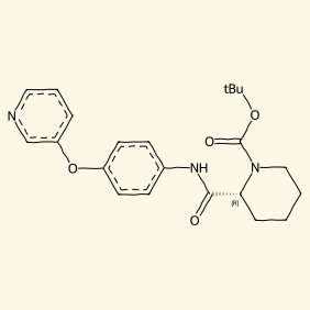 CC(C)(C)OC(=O)N1CCCC[C@@H]1C(=O)Nc1ccc(Oc2cccnc2)cc1